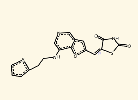 O=C1NC(=O)/C(=C\c2cc3cncc(NCCc4cccs4)c3o2)S1